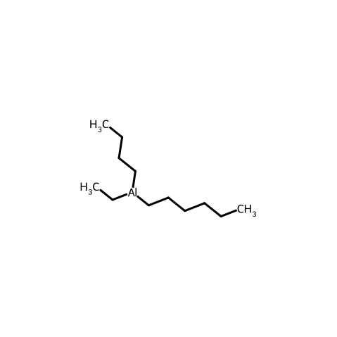 CCCCC[CH2][Al]([CH2]C)[CH2]CCC